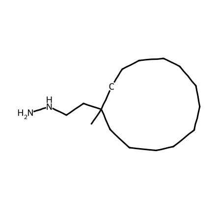 CC1(CCNN)CCCCCCCCCCCC1